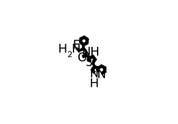 NCC(NC(=O)c1ccc(-c2c[nH]c3ncccc23)s1)c1ccccc1F